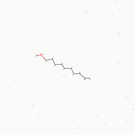 [C]OCCCCCCCCCC